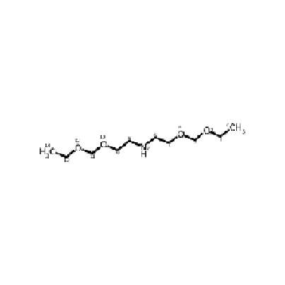 CCOCOCCNCCOCOCC